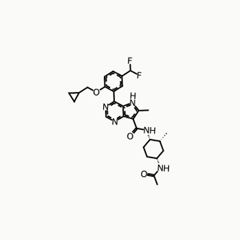 CC(=O)N[C@@H]1CC[C@H](NC(=O)c2c(C)[nH]c3c(-c4cc(C(F)F)ccc4OCC4CC4)ncnc23)[C@H](C)C1